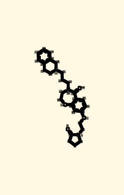 O=C1CCCN1CCOc1ccc2c(c1)OCCN(CCCN1CCc3ccccc3C1)C2=O